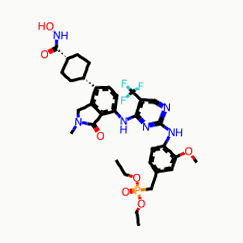 CCOP(=O)(Cc1ccc(Nc2ncc(C(F)(F)F)c(Nc3ccc([C@H]4CC[C@@H](C(=O)NO)CC4)c4c3C(=O)N(C)C4)n2)c(OC)c1)OCC